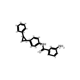 Nc1cccc(C(=O)Nc2ccc(C3CC3c3ccccc3)cc2)c1